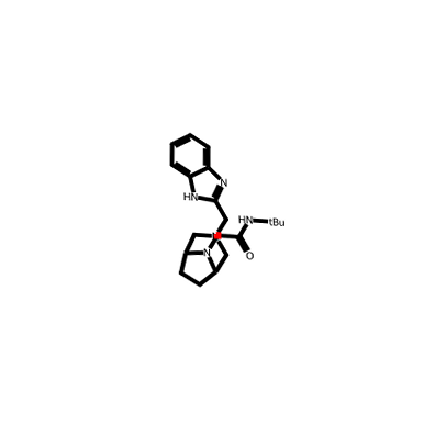 CC(C)(C)NC(=O)CN1C2CCC1CN(Cc1nc3ccccc3[nH]1)C2